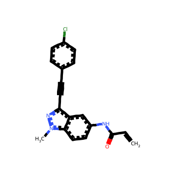 C=CC(=O)Nc1ccc2c(c1)c(C#Cc1ccc(Cl)cc1)nn2C